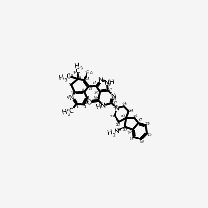 Cc1ccc2c(n1)CC(C)(C)C(F)=C2c1n[nH]c2nc(N3CCC4(CC3)Cc3ccccc3[C@H]4N)[nH]c(=O)c12